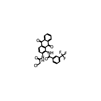 O=C(CCl)Nc1ccc2c(c1NC(=O)c1cccc(C(F)(F)F)c1)C(=O)c1ccccc1C2=O